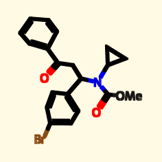 COC(=O)N(C1CC1)C(CC(=O)c1ccccc1)c1ccc(Br)cc1